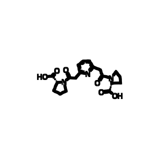 O=C(O)[C@H]1CCCN1C(=O)Cc1cccc(CC(=O)N2CCC[C@@H]2C(=O)O)n1